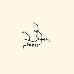 CCNCC(N)(CS)NCC(C)(CS)NCC